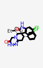 C=C(CC)[C@H]1N2CC(=O)NN=C2C[C@@H](C2C=CC=C(Cl)C2)[C@]12C(=O)Nc1cc(Cl)ccc12